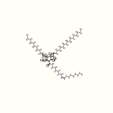 CCCCCCCC/C=C\CCCCCCCC(=O)C(CCCCCCCCCCCCCC)C(=O)C(O)(C(=O)CCCCCCCCCCCCCCCCC)C(O)CO